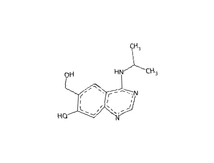 CC(C)Nc1ncnc2cc(O)c(CO)cc12